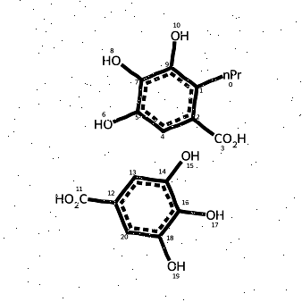 CCCc1c(C(=O)O)cc(O)c(O)c1O.O=C(O)c1cc(O)c(O)c(O)c1